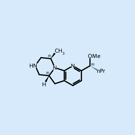 CCC[C@@H](OC)c1ccc2c(n1)N1[C@@H](CNC[C@H]1C)C2